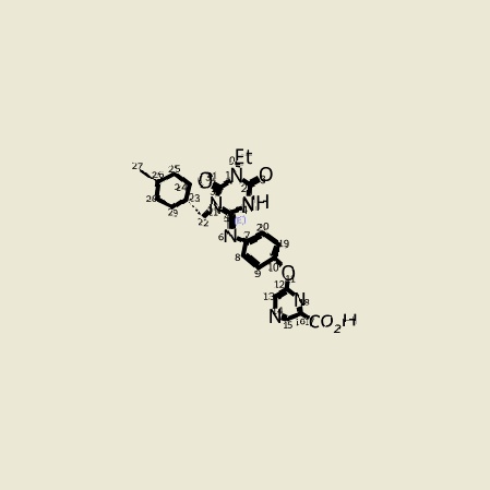 CCn1c(=O)[nH]/c(=N\c2ccc(Oc3cncc(C(=O)O)n3)cc2)n(C[C@H]2CC[C@H](C)CC2)c1=O